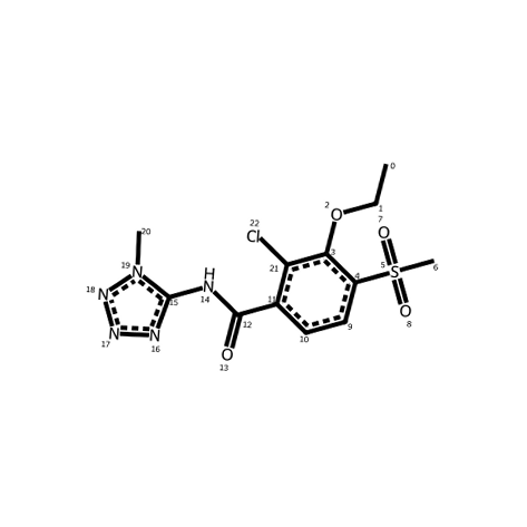 CCOc1c(S(C)(=O)=O)ccc(C(=O)Nc2nnnn2C)c1Cl